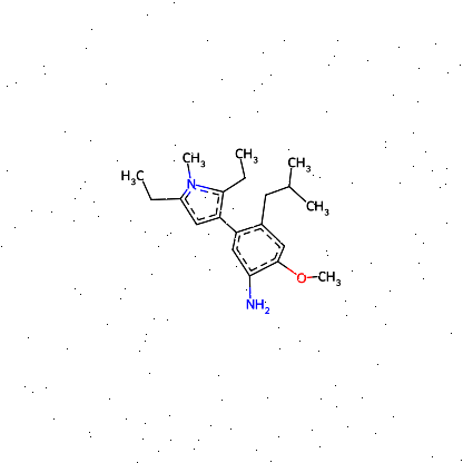 CCc1cc(-c2cc(N)c(OC)cc2CC(C)C)c(CC)n1C